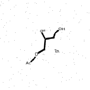 CC(=O)OCC(O)CO.[Zn]